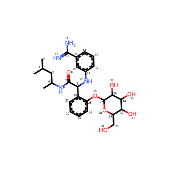 CC(C)CC(C)NC(=O)C(Nc1cccc(C(=N)N)c1)c1ccccc1OC1OC(CO)C(O)C(O)C1O